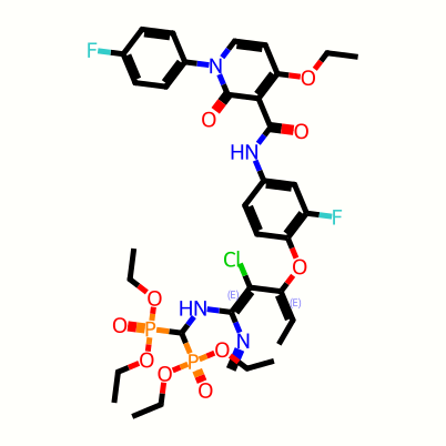 C=N/C(NC(P(=O)(OCC)OCC)P(=O)(OCC)OCC)=C(Cl)\C(=C/C)Oc1ccc(NC(=O)c2c(OCC)ccn(-c3ccc(F)cc3)c2=O)cc1F